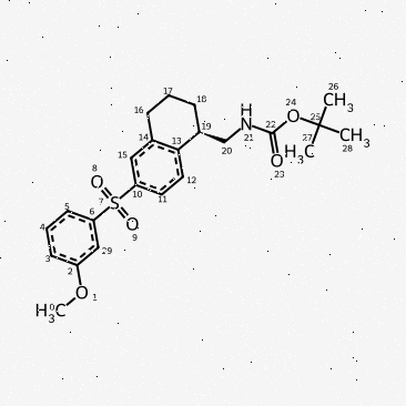 COc1cccc(S(=O)(=O)c2ccc3c(c2)CCC[C@H]3CNC(=O)OC(C)(C)C)c1